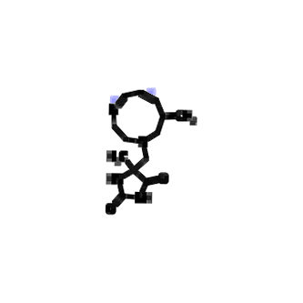 C=C1/C=C\C=N/CCN(CC2(C)NC(=O)NC2=O)C1